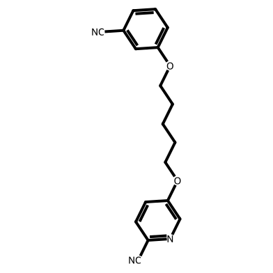 N#Cc1cccc(OCCCCCOc2ccc(C#N)nc2)c1